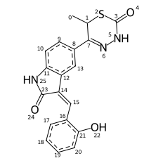 CC1SC(=O)NN=C1c1ccc2c(c1)C(=Cc1ccccc1O)C(=O)N2